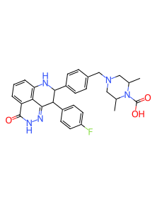 CC1CN(Cc2ccc(C3Nc4cccc5c(=O)[nH]nc(c45)C3c3ccc(F)cc3)cc2)CC(C)N1C(=O)O